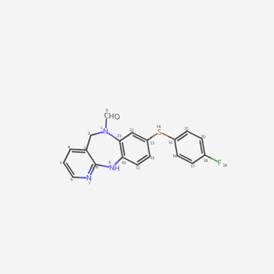 O=CN1Cc2cccnc2Nc2ccc(Sc3ccc(F)cc3)cc21